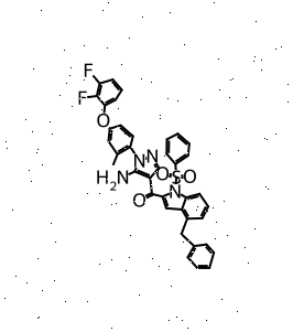 Cc1cc(Oc2cccc(F)c2F)ccc1-n1ncc(C(=O)c2cc3c(Cc4ccccc4)cccc3n2S(=O)(=O)c2ccccc2)c1N